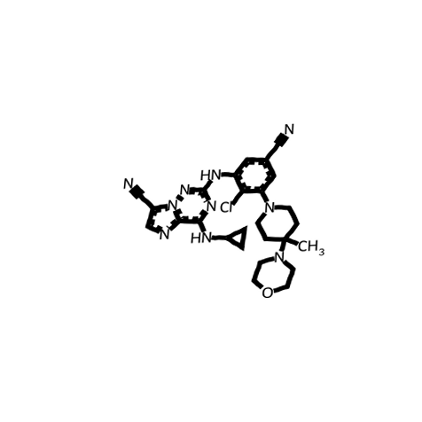 CC1(N2CCOCC2)CCN(c2cc(C#N)cc(Nc3nc(NC4CC4)c4ncc(C#N)n4n3)c2Cl)CC1